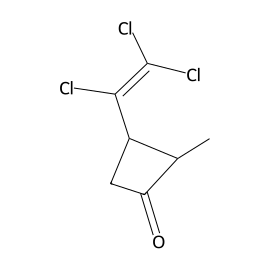 CC1C(=O)CC1C(Cl)=C(Cl)Cl